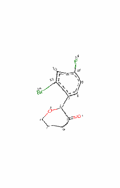 O=C1CCCOC1c1ccc(F)cc1Br